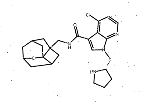 O=C(NCC12CC3CC4CC(C1)C2(C4)C3)c1cn(C[C@@H]2CCCN2)c2nccc(Cl)c12